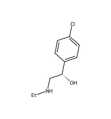 CCNC[C@@H](O)c1ccc(Cl)cc1